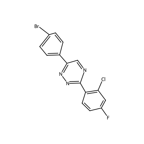 Fc1ccc(-c2ncc(-c3ccc(Br)cc3)nn2)c(Cl)c1